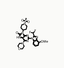 COc1cccc2c1nc(C(F)F)n2-c1nc(N2CCOCC2)c2[nH]c(=O)n(C3CCN(S(C)(=O)=O)CC3)c2n1